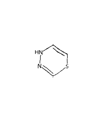 [C]1=NNC=CS1